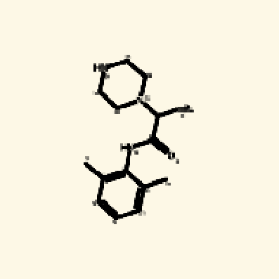 CCCCC(C(=O)Nc1c(C)cccc1C)N1CCNCC1